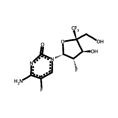 Nc1nc(=O)n([C@@H]2O[C@@](CO)(C(F)(F)F)[C@@H](O)[C@@H]2F)cc1F